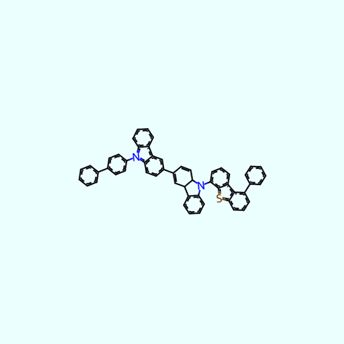 C1=CC2C(C=C1c1ccc3c(c1)c1ccccc1n3-c1ccc(-c3ccccc3)cc1)c1ccccc1N2c1cccc2c1sc1cccc(-c3ccccc3)c12